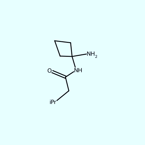 CC(C)CC(=O)NC1(N)CCC1